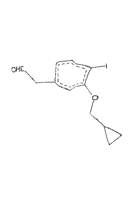 O=CCc1ccc(I)c(OCC2CC2)c1